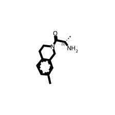 Cc1ccc2c(c1)CN(C(=O)[C@H](C)N)CC2